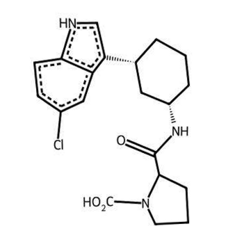 O=C(N[C@H]1CCC[C@@H](c2c[nH]c3ccc(Cl)cc23)C1)C1CCCN1C(=O)O